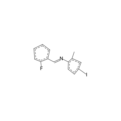 Cc1cc(I)ccc1N=Cc1ccccc1F